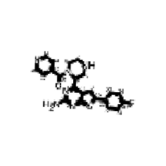 Nc1nc(C2CNCCN2C(=O)c2ccncc2)c2cc(-c3ccc(F)cc3)sc2n1